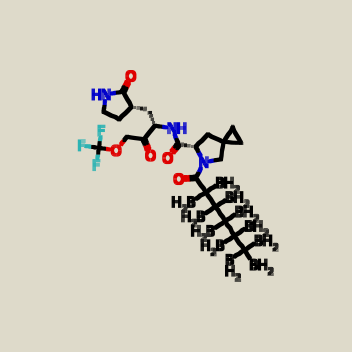 BC(B)(B)C(B)(B)C(B)(B)C(B)(B)C(B)(B)C(=O)N1CC2(CC2)C[C@H]1C(=O)N[C@@H](C[C@@H]1CCNC1=O)C(=O)COC(F)(F)F